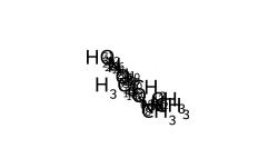 Cc1c(OCCCN(C)CCN(C)C)cccc1-c1cccc(OCCCN2CCC(O)C2)c1C